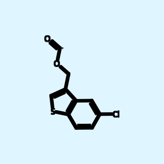 O=[C]OCc1csc2ccc(Cl)cc12